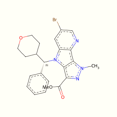 COC(=O)c1nn(C)c2c3ncc(Br)cc3n([C@H](c3ccccc3)C3CCOCC3)c12